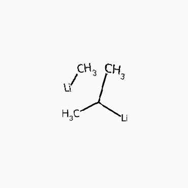 [Li][CH3].[Li][CH](C)C